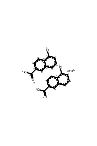 O=C([O-])c1ccc2c(Cl)cccc2c1.O=C([O-])c1ccc2c(Cl)cccc2c1.[Cd+2]